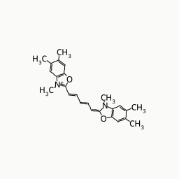 Cc1cc2c(cc1C)N(C)C(=CC=CC=Cc1oc3cc(C)c(C)cc3[n+]1C)O2